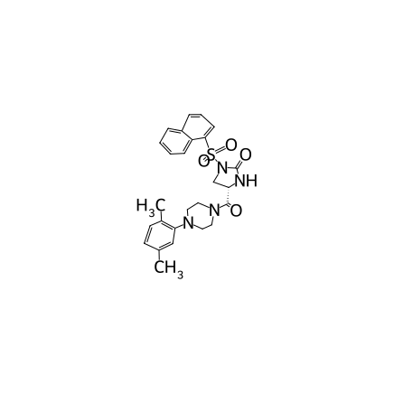 Cc1ccc(C)c(N2CCN(C(=O)[C@@H]3CN(S(=O)(=O)c4cccc5ccccc45)C(=O)N3)CC2)c1